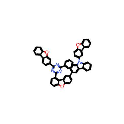 c1ccc(-c2nc(-c3ccc4c(c3)oc3ccccc34)nc(-c3cccc4oc5ccc(-c6ccc7c(c6)c6ccccc6n7-c6ccc7oc8ccccc8c7c6)cc5c34)n2)cc1